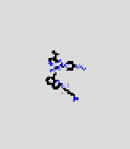 CC(C)c1cnn2c(NCc3cccc4ccc(NC(=O)/C=C/CN(C)C)nc34)nc(N3CCC(N)CC3)nc12